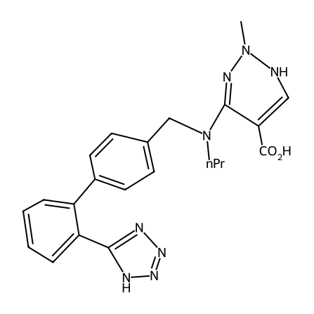 CCCN(Cc1ccc(-c2ccccc2-c2nnn[nH]2)cc1)C1=NN(C)NC=C1C(=O)O